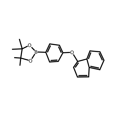 CC1(C)OB(c2ccc(Oc3cccc4ccccc34)cc2)OC1(C)C